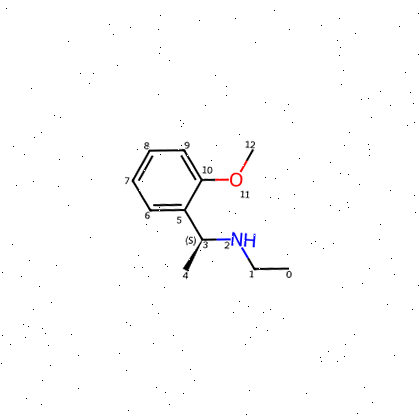 CCN[C@@H](C)c1ccccc1OC